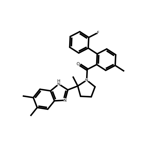 Cc1ccc(-c2ccccc2F)c(C(=O)N2CCCC2(C)c2nc3cc(C)c(C)cc3[nH]2)c1